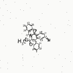 COC(=O)c1c(-c2ccccc2)c2cc(C#N)ccc2c(=O)n1Cc1ccccc1